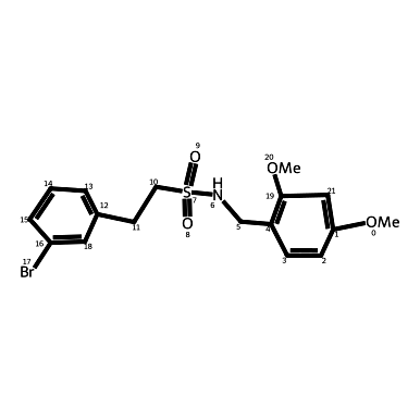 COc1ccc(CNS(=O)(=O)CCc2cccc(Br)c2)c(OC)c1